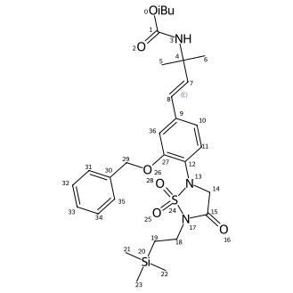 CC(C)COC(=O)NC(C)(C)/C=C/c1ccc(N2CC(=O)N(CC[Si](C)(C)C)S2(=O)=O)c(OCc2ccccc2)c1